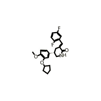 COc1ccc([C@H]2CNC(=O)/C(=C/c3cc(F)ccc3F)C2)cc1OC1CCCC1